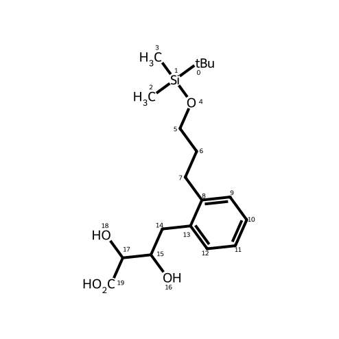 CC(C)(C)[Si](C)(C)OCCCc1ccccc1CC(O)C(O)C(=O)O